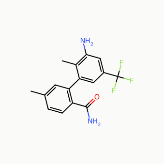 Cc1ccc(C(N)=O)c(-c2cc(C(F)(F)F)cc(N)c2C)c1